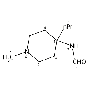 CCCC1(NC=O)CCN(C)CC1